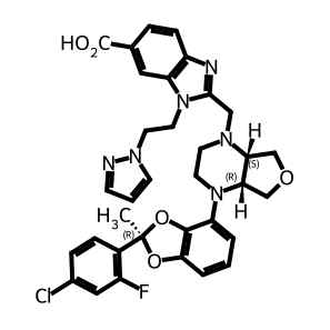 C[C@@]1(c2ccc(Cl)cc2F)Oc2cccc(N3CCN(Cc4nc5ccc(C(=O)O)cc5n4CCn4cccn4)[C@@H]4COC[C@@H]43)c2O1